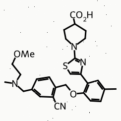 COCCN(C)Cc1ccc(COc2ccc(C)cc2-c2csc(N3CCC(C(=O)O)CC3)n2)c(C#N)c1